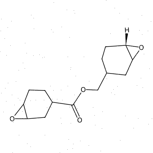 O=C(OCC1CC[C@@H]2OC2C1)C1CCC2OC2C1